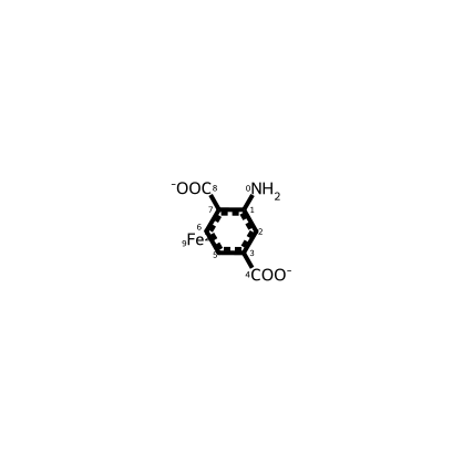 Nc1cc(C(=O)[O-])ccc1C(=O)[O-].[Fe+2]